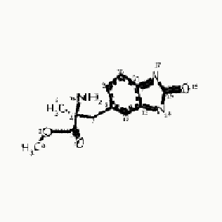 COC(=O)[C@@](C)(N)Cc1ccc2c(c1)=NC(=O)N=2